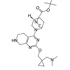 CN(C)CC1(COc2nc3c(c(N4C[C@@H]5CCC4CN5C(=O)OC(C)(C)C)n2)CCNC3)CC1